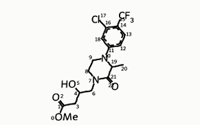 COC(=O)CC(O)CN1CCN(c2ccc(C(F)(F)F)c(Cl)c2)C(C)C1=O